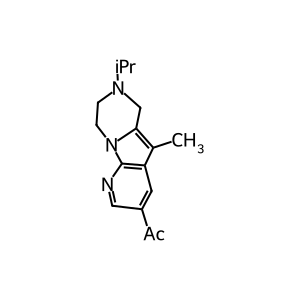 CC(=O)c1cnc2c(c1)c(C)c1n2CCN(C(C)C)C1